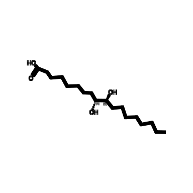 CCCCCCCC[C@H](O)[C@H](O)CCCCCCCC(=O)O